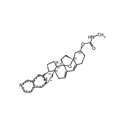 CNC(=O)O[C@H]1CCC2=CC3=CC[C@]4(C)[C@@H](c5ccc6ccncc6c5)CC[C@H]4[C@@]34CC[C@]2(C1)O4